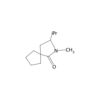 CC(C)C1CC2(CCCC2)C(=O)N1C